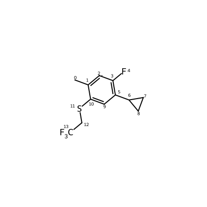 Cc1[c]c(F)c(C2CC2)cc1SCC(F)(F)F